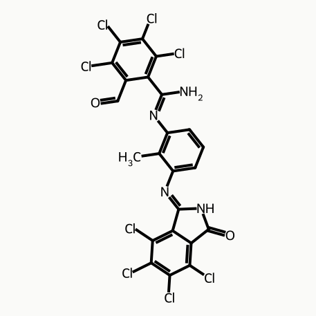 Cc1c(/N=C(\N)c2c(Cl)c(Cl)c(Cl)c(Cl)c2C=O)cccc1/N=C1\NC(=O)c2c(Cl)c(Cl)c(Cl)c(Cl)c21